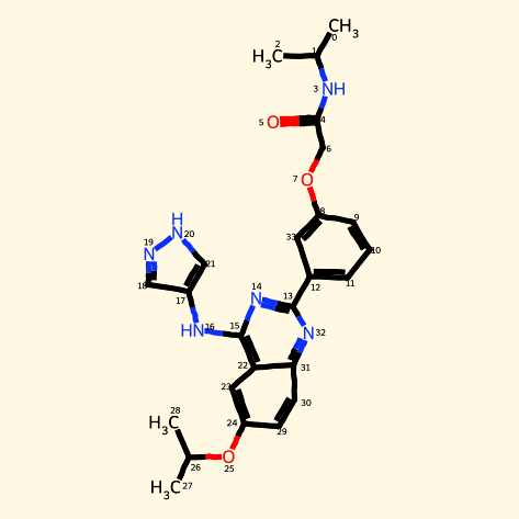 CC(C)NC(=O)COc1cccc(-c2nc(Nc3cn[nH]c3)c3cc(OC(C)C)ccc3n2)c1